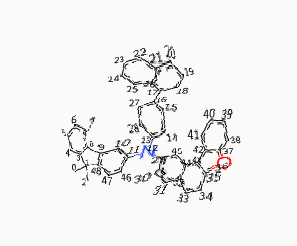 CC1(C)c2ccccc2-c2cc(N(c3ccc(-c4cccc5ccccc45)cc3)c3ccc4ccc5oc6ccccc6c5c4c3)ccc21